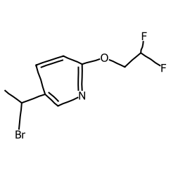 CC(Br)c1ccc(OCC(F)F)nc1